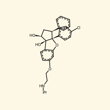 CC(C)NCCOc1ccc2c(c1)O[C@@]1(c3ccc(Cl)cc3)[C@H](c3ccccc3)C[C@H](O)[C@@]21O